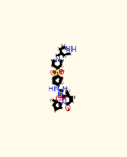 CC1(O)CCCC1n1c(=O)ccc2cnc(Nc3ccc(S(=O)(=O)C4CCN(CC5CCNCC5)CC4)cc3)nc21